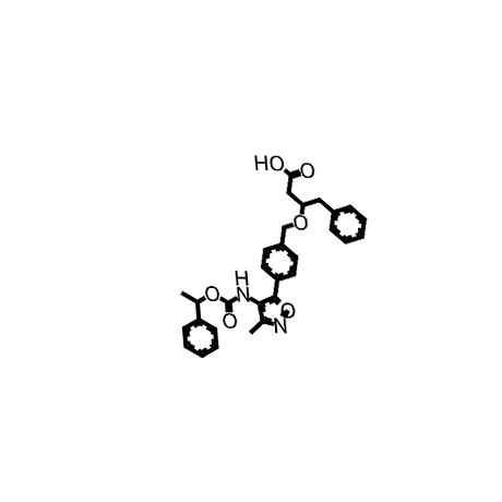 Cc1noc(-c2ccc(COC(CC(=O)O)Cc3ccccc3)cc2)c1NC(=O)OC(C)c1ccccc1